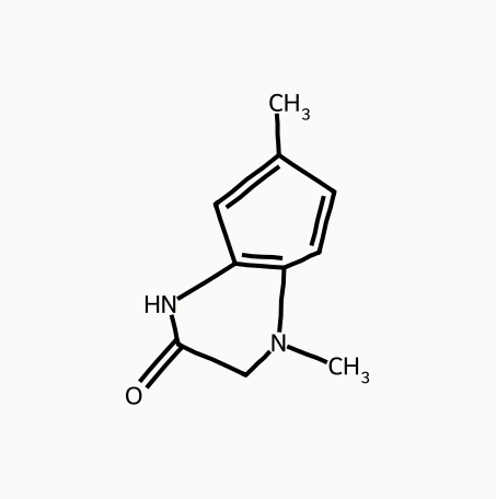 Cc1ccc2c(c1)NC(=O)CN2C